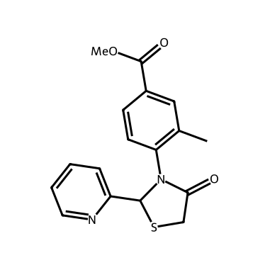 COC(=O)c1ccc(N2C(=O)CSC2c2ccccn2)c(C)c1